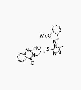 COc1ccccc1C=Nn1c(C)nnc1SCC(O)Cn1cnc2ccccc2c1=O